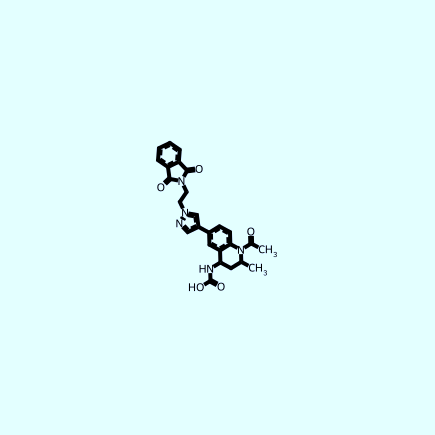 CC(=O)N1c2ccc(-c3cnn(CCN4C(=O)c5ccccc5C4=O)c3)cc2C(NC(=O)O)CC1C